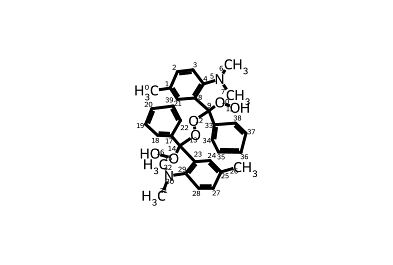 Cc1ccc(N(C)C)c(C(OO)(OOC(OO)(c2ccccc2)c2cc(C)ccc2N(C)C)c2ccccc2)c1